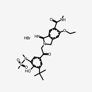 Br.CCOc1cc2c(cc1C(=O)NC)C(=N)N(CC(=O)c1cc(N(C)S(C)(=O)=O)c(O)c(C(C)(C)C)c1)C2